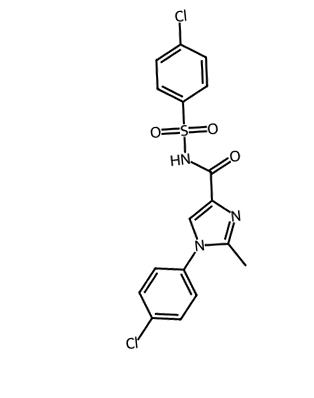 Cc1nc(C(=O)NS(=O)(=O)c2ccc(Cl)cc2)cn1-c1ccc(Cl)cc1